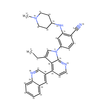 CCc1cn(-c2ccc(C#N)c(NC3CCN(C)CC3)c2)c2nccc(-c3cnc4ccccc4c3)c12